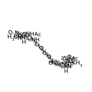 CC(=O)Nc1cc(NCCOCCOCCOCCOCCC(=O)N2CCN(c3ccc(Nc4ncc5c(C)c(C(C)=O)c(=O)n(C6CCCC6)c5n4)nc3)CC2)ccc1C(=O)Nc1nc(C)c([N+](=O)[O-])s1